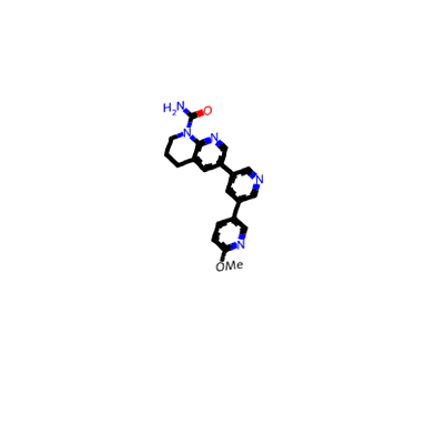 COc1ccc(-c2cncc(-c3cnc4c(c3)CCCN4C(N)=O)c2)cn1